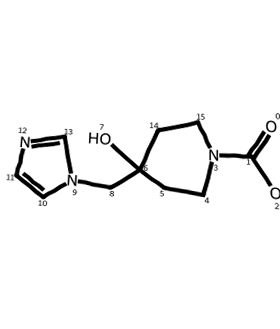 O=C(O)N1CCC(O)(Cn2ccnc2)CC1